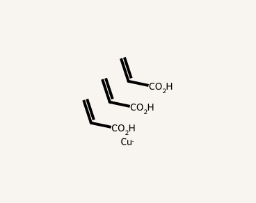 C=CC(=O)O.C=CC(=O)O.C=CC(=O)O.[Cu]